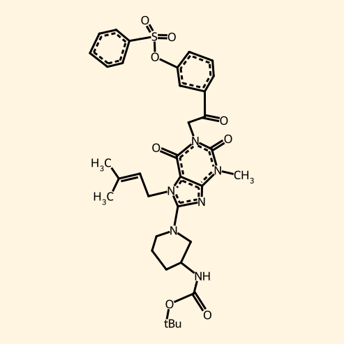 CC(C)=CCn1c(N2CCCC(NC(=O)OC(C)(C)C)C2)nc2c1c(=O)n(CC(=O)c1cccc(OS(=O)(=O)c3ccccc3)c1)c(=O)n2C